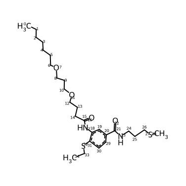 CCCCCCCOCCCOCCCC(=O)Nc1cc(C(=O)NCCCSC)ccc1SCC